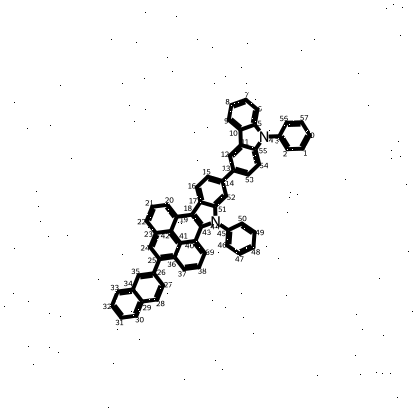 c1ccc(-n2c3ccccc3c3cc(-c4ccc5c6c7cccc8cc(-c9ccc%10ccccc%10c9)c9cccc(c9c87)c6n(-c6ccccc6)c5c4)ccc32)cc1